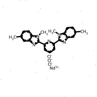 Cc1ccc2c(c1)nc(-c1cccc(-c3nc4cc(C)ccc4n3C)n1)n2C.[Cl-].[Cl-].[Cl-].[Nd+3]